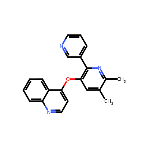 Cc1cc(Oc2ccnc3ccccc23)c(-c2cccnc2)nc1C